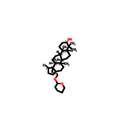 CC[C@@H]1CC[C@]2(COC3CCCCO3)CC[C@]3(C)[C@H](CC[C@@H]4[C@@]5(C)CC[C@H](O)C(C)(C)[C@@H]5CC[C@]43C)[C@@H]12